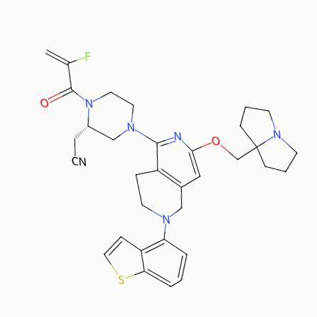 C=C(F)C(=O)N1CCN(c2nc(OCC34CCCN3CCC4)cc3c2CCN(c2cccc4sccc24)C3)C[C@@H]1CC#N